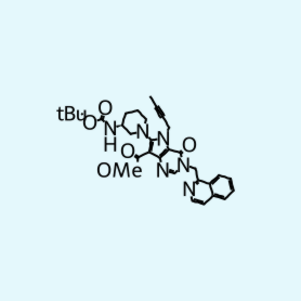 CC#CCn1c(N2CCC[C@H](NC(=O)OC(C)(C)C)C2)c(C(=O)OC)c2ncn(Cc3nccc4ccccc34)c(=O)c21